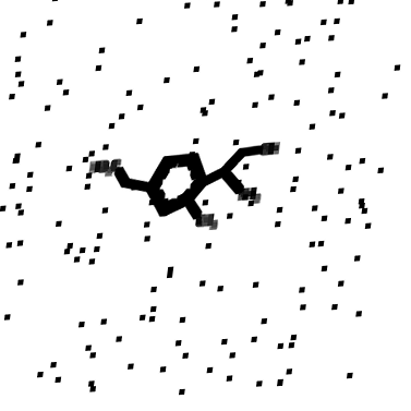 Cc1cc(CC(=O)O)ccc1C(N)CO